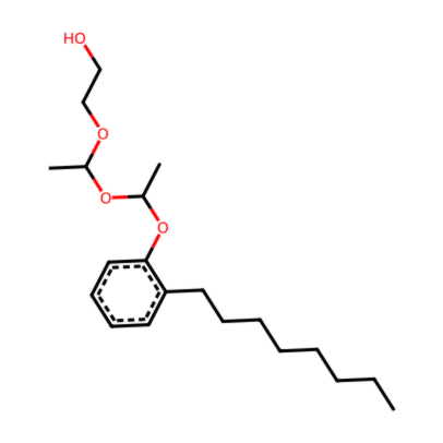 CCCCCCCCc1ccccc1OC(C)OC(C)OCCO